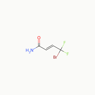 NC(=O)C=CC(F)(F)Br